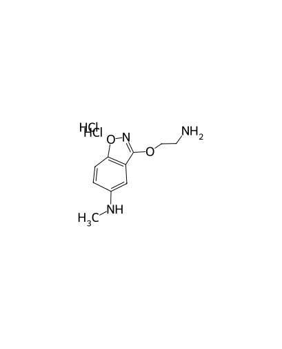 CNc1ccc2onc(OCCN)c2c1.Cl.Cl